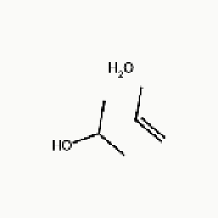 C=CC.CC(C)O.O